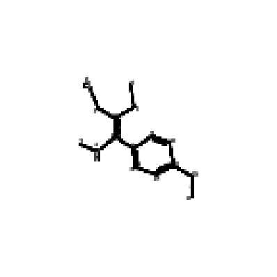 CC/C(CCl)=C(/NC)c1ccc(CC)cc1